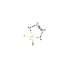 CS1(C)CC=CC1